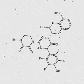 CCN1CCN(C(=O)NC(C(=O)N[C@H]2Cc3cccc(C(=O)O)c3OB2O)c2c(F)c(F)c(O)c(F)c2F)C(=O)C1=O